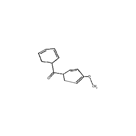 COC1=CCC(C(=O)C2C=CC=CC2)C=C1